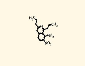 C=CCc1nc(CC=C)c2c(N)c([N+](=O)[O-])ccc2n1